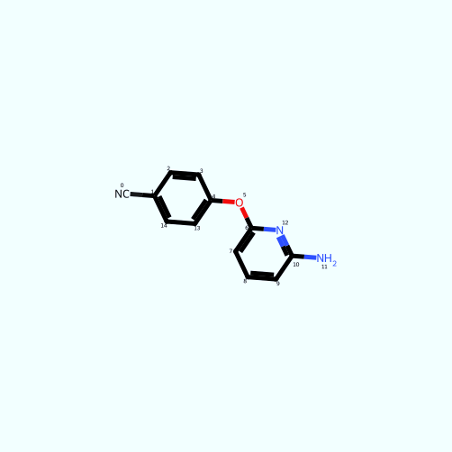 N#Cc1ccc(Oc2cccc(N)n2)cc1